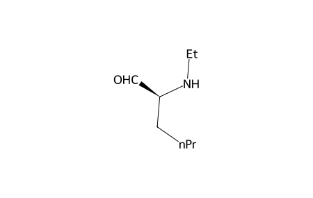 CCCC[C@@H](C=O)NCC